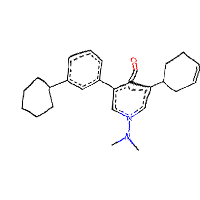 CN(C)n1cc(-c2cccc(C3CCCCC3)c2)c(=O)c(C2CC=CCC2)c1